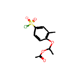 CC(=O)OC(C)Oc1ccc(S(=O)(=O)Cl)cc1C